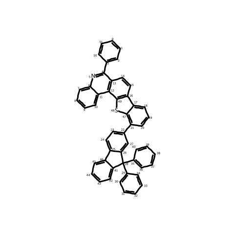 c1ccc(-c2nc3ccccc3c3c2ccc2c4cccc(-c5ccc6c(c5)C(c5ccccc5)(c5ccccc5)c5ccccc5-6)c4sc23)cc1